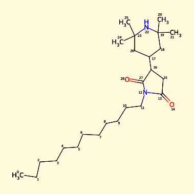 CCCCCCCCCCCCN1C(=O)CC(C2CC(C)(C)NC(C)(C)C2)C1=O